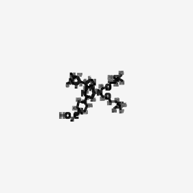 Cn1cc(-c2cnn3c(N(COCC[Si](C)(C)C)COCC[Si](C)(C)C)cc(C4CCN(C(=O)O)CC4)nc23)cn1